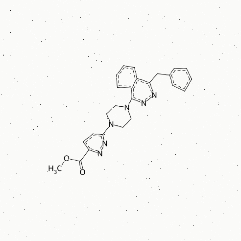 COC(=O)c1ccc(N2CCN(c3nnc(Cc4ccccc4)c4ccccc34)CC2)nn1